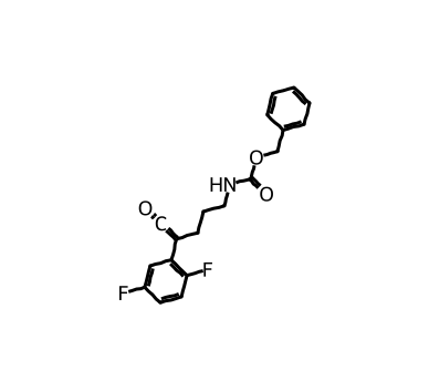 O=C=C(CCCNC(=O)OCc1ccccc1)c1cc(F)ccc1F